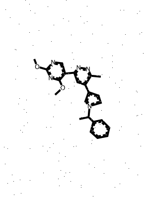 COc1ncc(-c2cc(-c3ccn(C(C)c4ccccc4)c3)c(C)nn2)c(OC)n1